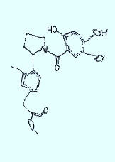 COC(=O)Cc1ccc(C2CCCN2C(=O)c2cc(Cl)c(O)cc2O)c(C)c1